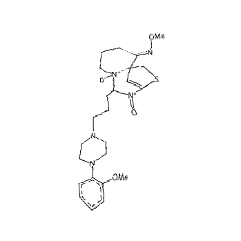 CON=C1CCC[N+]2([O-])C(CCCN3CCN(c4ccccc4OC)CC3)[N+](=O)C3=CC12CS3